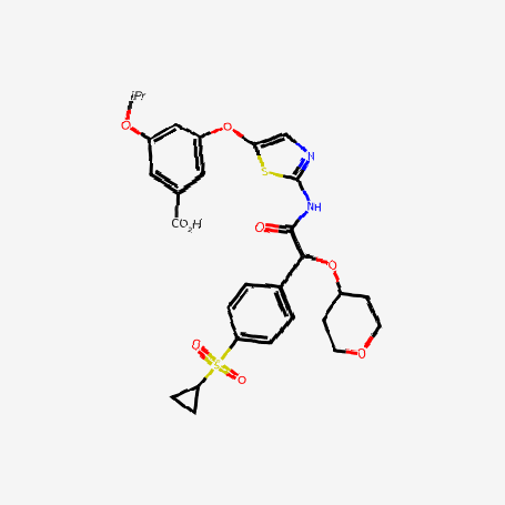 CC(C)Oc1cc(Oc2cnc(NC(=O)C(OC3CCOCC3)c3ccc(S(=O)(=O)C4CC4)cc3)s2)cc(C(=O)O)c1